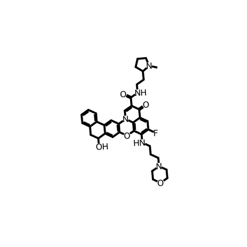 CN1CCCC1CCNC(=O)c1cn2c3c(c(NCCCN4CCOCC4)c(F)cc3c1=O)Oc1cc3c(cc1-2)-c1ccccc1CC3O